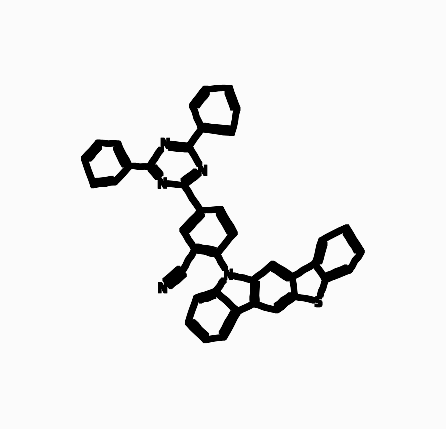 N#Cc1cc(-c2nc(-c3ccccc3)nc(-c3ccccc3)n2)ccc1-n1c2ccccc2c2cc3sc4ccccc4c3cc21